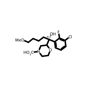 COCCCC[C@@](O)(c1cccc(Cl)c1F)C1CN(C(=O)O)CCO1